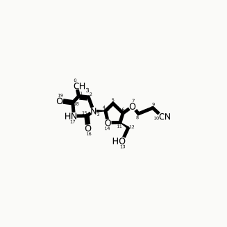 Cc1cn([C@H]2CC(OCCC#N)[C@@H](CO)O2)c(=O)[nH]c1=O